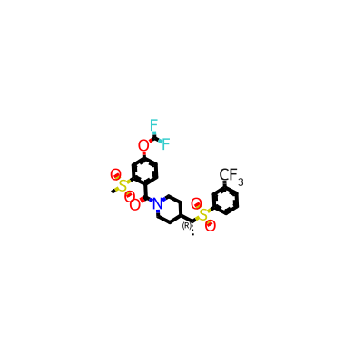 C[C@H](C1CCN(C(=O)c2ccc(OC(F)F)cc2S(C)(=O)=O)CC1)S(=O)(=O)c1cccc(C(F)(F)F)c1